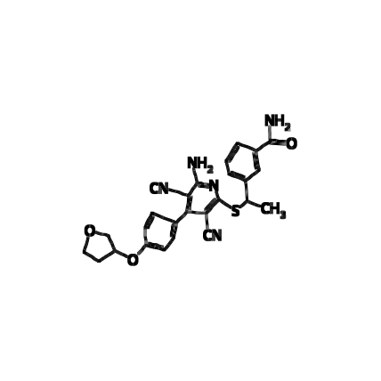 [C-]#[N+]c1c(N)nc(SC(C)c2cccc(C(N)=O)c2)c(C#N)c1-c1ccc(OC2CCOC2)cc1